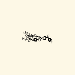 COCCN(CCN1CCC(C(=O)c2ccc(F)cc2)CC1)C(=O)c1ccc(CNC(=O)[C@H](C)NC(=O)OC(C)(C)C)cc1